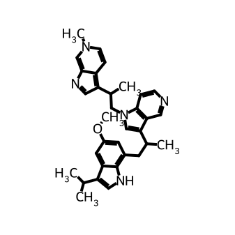 COc1cc(CC(C)c2cn(CC(C)c3cnc4cn(C)ccc3-4)c3ccncc23)c2[nH]cc(C(C)C)c2c1